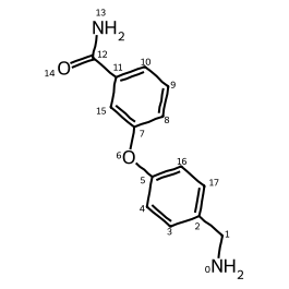 NCc1ccc(Oc2cccc(C(N)=O)c2)cc1